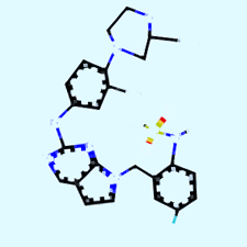 CC1CN(c2ccc(Nc3ncc4ccn(Cc5cc(F)ccc5N(C)S(C)(=O)=O)c4n3)cc2C#N)CCN1